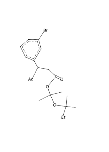 CCC(C)(C)OC(C)(C)OC(=O)CC(C(C)=O)c1cccc(Br)c1